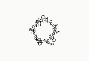 CC[C@H](C)C1(C)C(=O)N(C)[C@@H](CC(C)C)C(=O)NC(C(=O)N2CCCCC2)CC(=O)N[C@H](C)C(=O)N(C)[C@@H](CC(C)C)C(=O)N[C@@H](CC(C)C)C(=O)N(C)[C@@H](Cc2ccccc2)C(=O)N[C@@H](COC(C)(C)C)C(=O)N(C)[C@@H](Cc2ccccc2)C(=O)N[C@@H]([C@@H](C)O)C(=O)N(C)[C@@H](C)C(=O)N1C